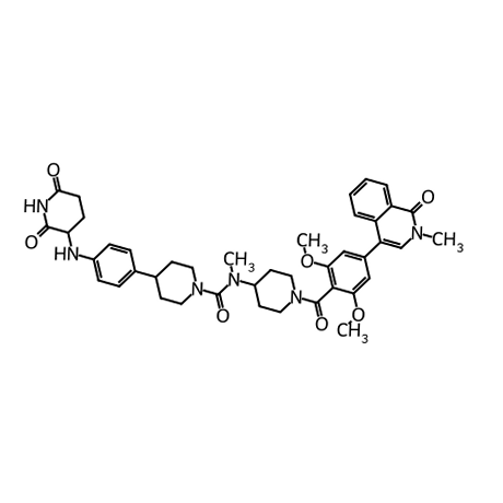 COc1cc(-c2cn(C)c(=O)c3ccccc23)cc(OC)c1C(=O)N1CCC(N(C)C(=O)N2CCC(c3ccc(NC4CCC(=O)NC4=O)cc3)CC2)CC1